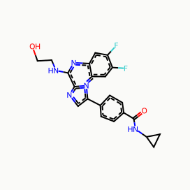 O=C(NC1CC1)c1ccc(-c2cnc3c(NCCO)nc4cc(F)c(F)cc4n23)cc1